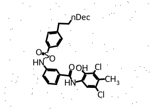 CCCCCCCCCCCCc1ccc(S(=O)(=O)Nc2cccc(C(=O)Nc3cc(Cl)c(C)c(Cl)c3O)c2)cc1